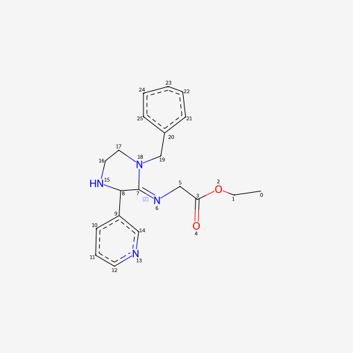 CCOC(=O)C/N=C1/C(c2cccnc2)NCCN1Cc1ccccc1